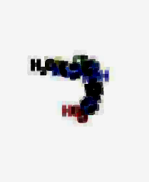 Cc1nc(CN2CCN(c3c(Cl)cnc4[nH]c(-c5ccc(CN6CCN(C(=O)O)CC6)cc5)nc34)CC2)cs1